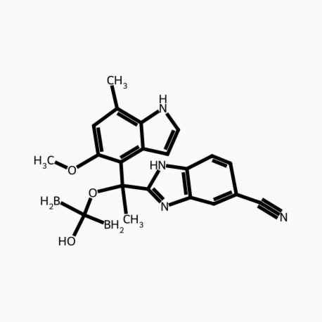 BC(B)(O)OC(C)(c1nc2cc(C#N)ccc2[nH]1)c1c(OC)cc(C)c2[nH]ccc12